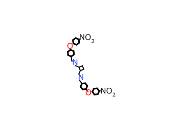 O=[N+]([O-])c1ccc(Oc2ccc(C=NCC3CCC3CN=Cc3ccc(Oc4ccc([N+](=O)[O-])cc4)cc3)cc2)cc1